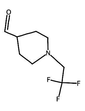 O=CC1CCN(CC(F)(F)F)CC1